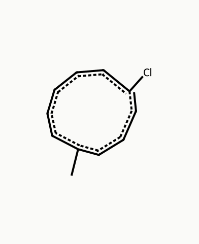 Cc1cccccc(Cl)ccc1